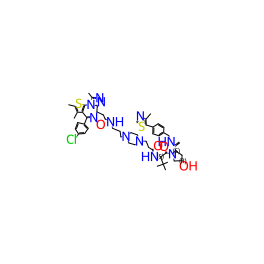 C=C(NCc1ccc(-c2scnc2C)cc1)[C@@H]1C[C@@H](O)CN1C(=O)[C@@H](NC(=O)CCN1CCN(CCCNC(=O)CC2N=C(c3ccc(Cl)cc3)c3c(sc(C)c3C)-n3c(C)nnc32)CC1)C(C)(C)C